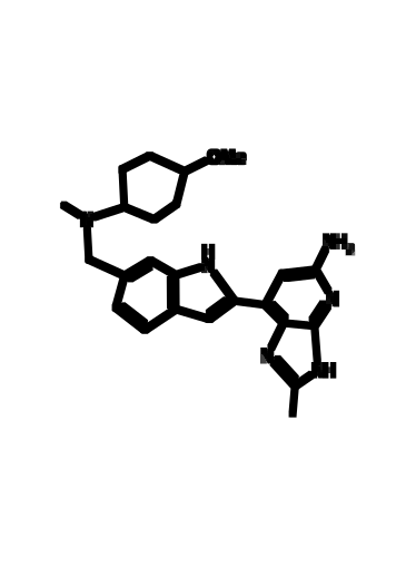 COC1CCC(N(C)Cc2ccc3cc(-c4cc(N)nc5[nH]c(C)nc45)[nH]c3c2)CC1